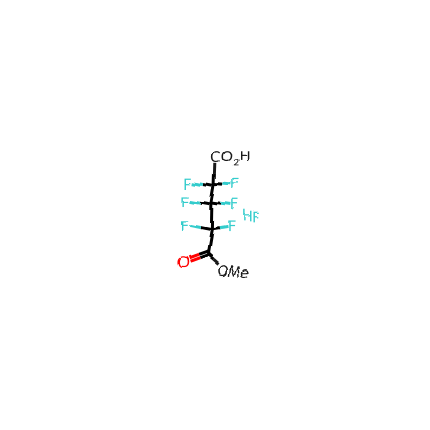 COC(=O)C(F)(F)C(F)(F)C(F)(F)C(=O)O.F